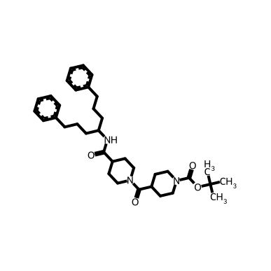 CC(C)(C)OC(=O)N1CCC(C(=O)N2CCC(C(=O)NC(CCCc3ccccc3)CCCc3ccccc3)CC2)CC1